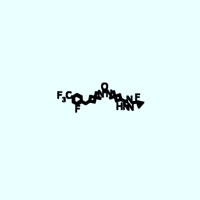 O=C(N1CC2(CC(Cc3ccc(C(F)(F)F)cc3F)C2)C1)N1CC2(CC(c3nc(C4(F)CC4)n[nH]3)C2)C1